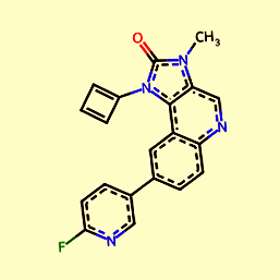 Cn1c(=O)n(C2=CC=C2)c2c3cc(-c4ccc(F)nc4)ccc3ncc21